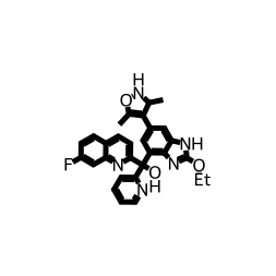 CCOc1nc2c(C(O)(c3ccccn3)c3ccc4ccc(F)cc4n3)cc(C3=C(C)ONC3C)cc2[nH]1